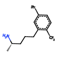 CC(C)c1ccc(C(F)(F)F)c(CCC[C@H](C)N)c1